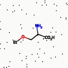 CCOC[C](N)C(=O)O